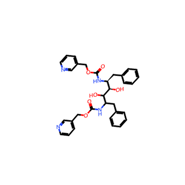 O=C(NC(Cc1ccccc1)C(O)[C@H](O)[C@H](Cc1ccccc1)NC(=O)OCc1cccnc1)OCc1cccnc1